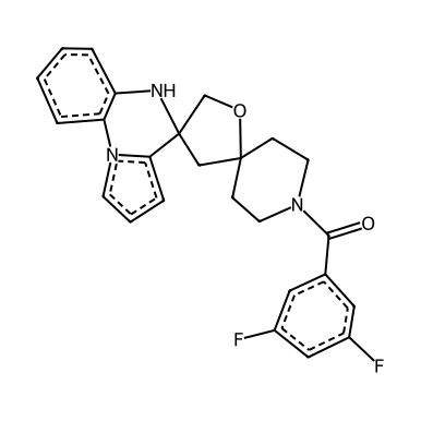 O=C(c1cc(F)cc(F)c1)N1CCC2(CC1)CC1(CO2)Nc2ccccc2-n2cccc21